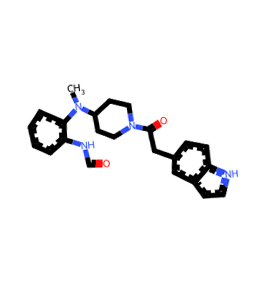 CN(c1ccccc1NC=O)C1CCN(C(=O)Cc2ccc3[nH]ccc3c2)CC1